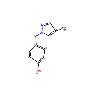 CCOC(=O)c1cnn(Cc2ccc(O)cc2)c1